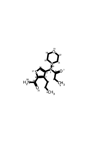 CCCc1c(N(C(=O)CC)N2CCOCC2)csc1C(N)=O